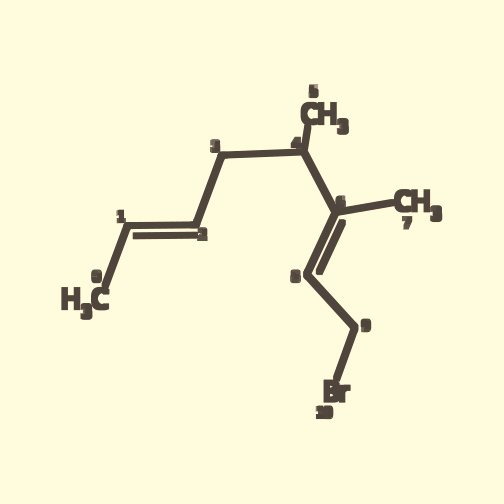 CC=CCC(C)C(C)=CCBr